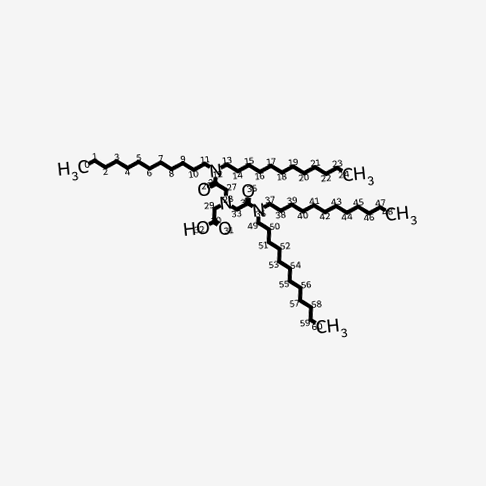 CCCCCCCCCCCCN(CCCCCCCCCCCC)C(=O)CN(CC(=O)O)CC(=O)N(CCCCCCCCCCCC)CCCCCCCCCCCC